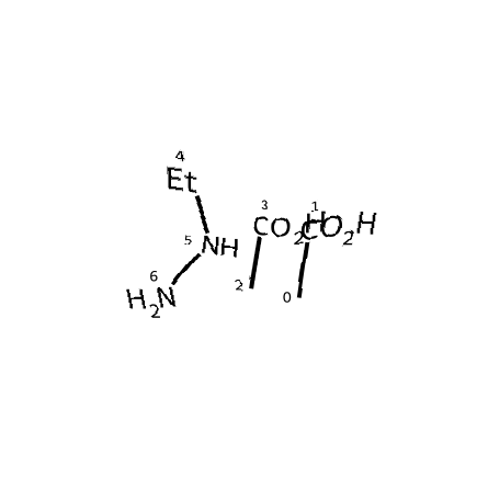 CC(=O)O.CC(=O)O.CCNN